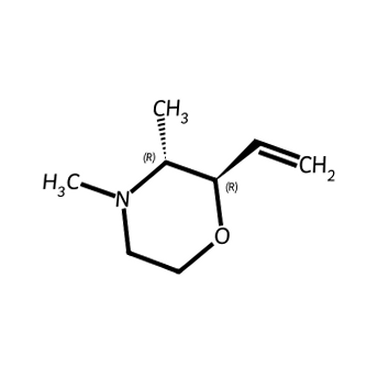 C=C[C@H]1OCCN(C)[C@@H]1C